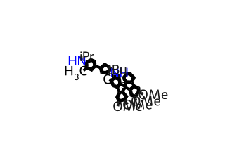 COc1cc2c(cc1OC)C1(c3cc(Nc4ccc(-c5ccc(NC(C)C)c(C)c5)cc4C)ccc3-2)c2cc(C(C)(C)C)ccc2-c2cc(OC)c(OC)cc21